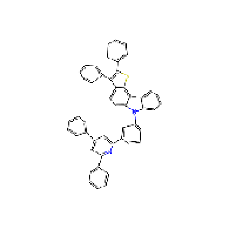 c1ccc(-c2cc(-c3ccccc3)nc(-c3cccc(-n4c5ccccc5c5c6sc(-c7ccccc7)c(-c7ccccc7)c6ccc54)c3)c2)cc1